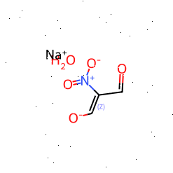 O.O=C/C(=C/[O-])[N+](=O)[O-].[Na+]